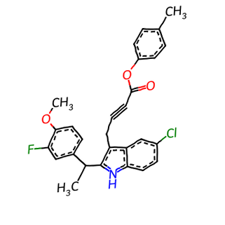 COc1ccc(C(C)c2[nH]c3ccc(Cl)cc3c2CC#CC(=O)Oc2ccc(C)cc2)cc1F